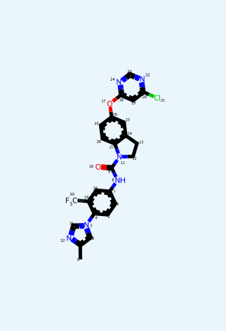 Cc1cn(-c2ccc(NC(=O)N3CCc4cc(Oc5cc(Cl)ncn5)ccc43)cc2C(F)(F)F)cn1